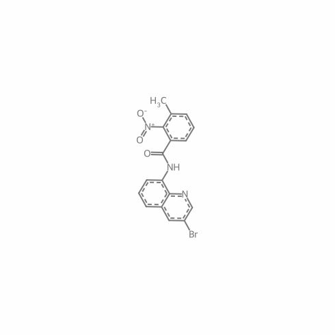 Cc1cccc(C(=O)Nc2cccc3cc(Br)cnc23)c1[N+](=O)[O-]